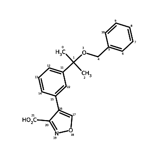 CC(C)(OCc1ccccc1)c1cccc(-c2conc2C(=O)O)c1